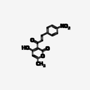 Cc1cc(O)c(C(=O)C=Cc2ccc([N+](=O)[O-])cc2)c(=O)o1